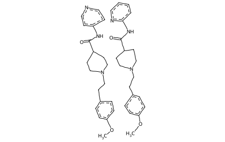 COc1ccc(CCN2CCC(C(=O)Nc3ccccn3)CC2)cc1.COc1ccc(CCN2CCC(C(=O)Nc3ccncc3)CC2)cc1